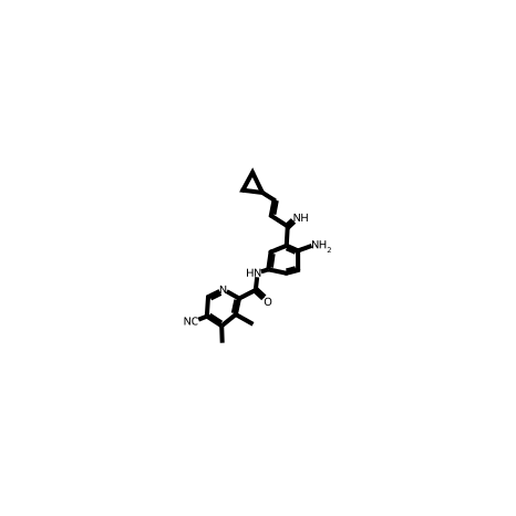 Cc1c(C#N)cnc(C(=O)Nc2ccc(N)c(C(=N)/C=C/C3CC3)c2)c1C